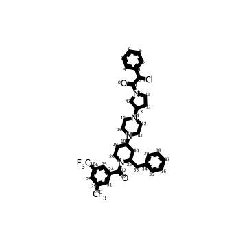 O=C(C(Cl)c1ccccc1)N1CCC(N2CCN(C3CCN(C(=O)c4cc(C(F)(F)F)cc(C(F)(F)F)c4)C(Cc4ccccc4)C3)CC2)C1